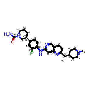 C[C@H](c1ccc2cnc(Nc3ccc([C@@H]4CCCN(C(N)=O)C4)cc3F)cc2n1)C1CCN(C)CC1